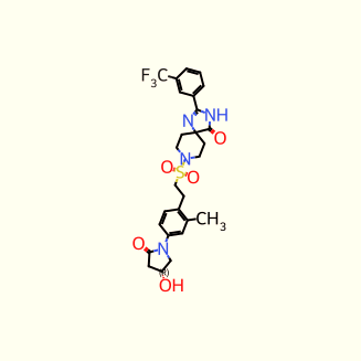 Cc1cc(N2C[C@H](O)CC2=O)ccc1CCS(=O)(=O)N1CCC2(CC1)N=C(c1cccc(C(F)(F)F)c1)NC2=O